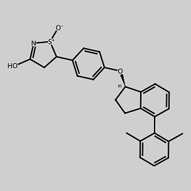 Cc1cccc(C)c1-c1cccc2c1CC[C@H]2Oc1ccc(C2CC(O)=N[S+]2[O-])cc1